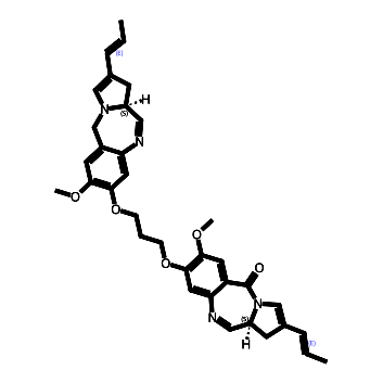 C/C=C/C1=CN2Cc3cc(OC)c(OCCCOc4cc5c(cc4OC)C(=O)N4C=C(/C=C/C)C[C@H]4C=N5)cc3N=C[C@@H]2C1